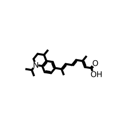 CC(C=CC=C(C)c1ccc2c(c1)C(C)CCN2C(C)C)=CC(=O)O